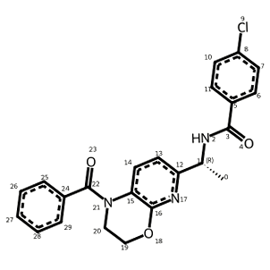 C[C@@H](NC(=O)c1ccc(Cl)cc1)c1ccc2c(n1)OCCN2C(=O)c1ccccc1